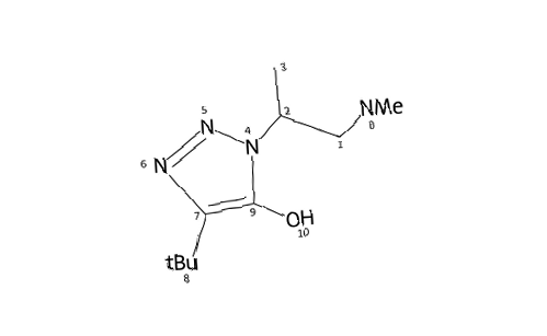 CNCC(C)n1nnc(C(C)(C)C)c1O